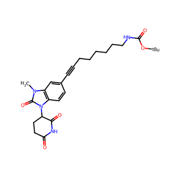 Cn1c(=O)n(C2CCC(=O)NC2=O)c2ccc(C#CCCCCCCNC(=O)OC(C)(C)C)cc21